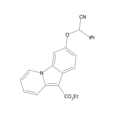 CCOC(=O)c1c2ccc(OC(C#N)C(C)C)cc2n2ccccc12